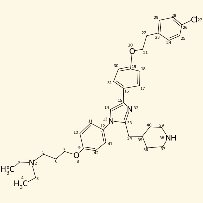 CCN(CC)CCCOc1ccc(-n2cc(-c3ccc(OCCc4ccc(Cl)cc4)cc3)nc2CC2CCNCC2)cc1